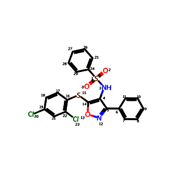 O=S(=O)(Nc1c(-c2ccccc2)noc1Sc1ccc(Cl)cc1Cl)c1ccccc1